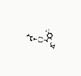 CC1(COc2ccc(S(C)(=O)=O)cc2C(=O)N2CCN(c3ncc(C(=O)C(F)(F)F)s3)CC2)CC1